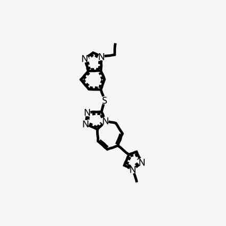 CCn1cnc2ccc(Sc3nnc4n3CC=C(c3cnn(C)c3)C=C4)cc21